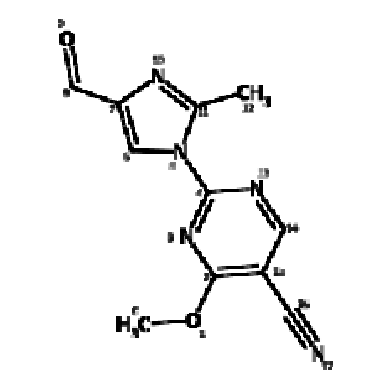 COc1nc(-n2cc(C=O)nc2C)ncc1C#N